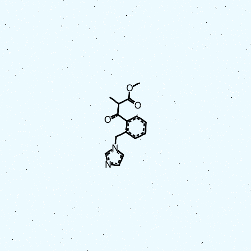 COC(=O)C(C)C(=O)c1ccccc1Cn1ccnc1